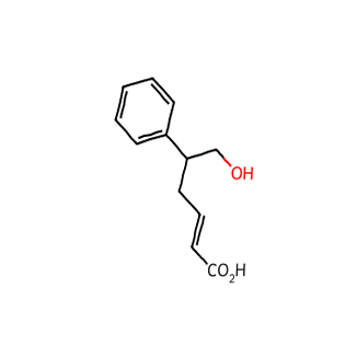 O=C(O)/C=C/CC(CO)c1ccccc1